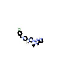 C=C1c2cccnc2N=C(N2CCN(C3CCN(Cc4ccc(Cl)cc4)CC3)[C@@H](CC)C2)N1C1CC1